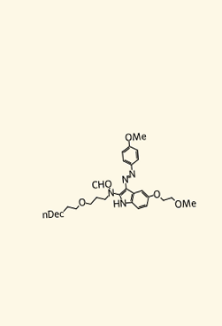 CCCCCCCCCCCCOCCCN(C=O)c1[nH]c2ccc(OCCOC)cc2c1N=Nc1ccc(OC)cc1